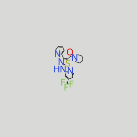 O=C(c1sc(Nc2cc(C(F)(F)F)ccn2)nc1-c1ccccn1)N1CCCCC1